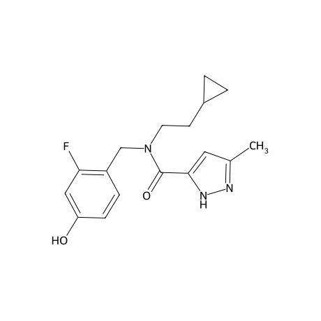 Cc1cc(C(=O)N(CCC2CC2)Cc2ccc(O)cc2F)[nH]n1